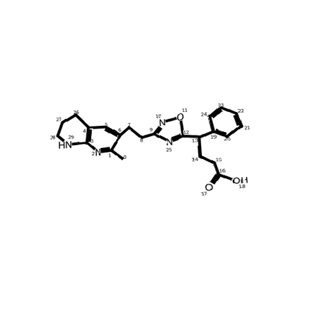 Cc1nc2c(cc1CCc1noc(C(CCC(=O)O)c3ccccc3)n1)CCCN2